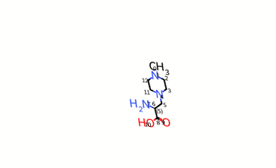 CN1CCN(C[C@H](N)C(=O)O)CC1